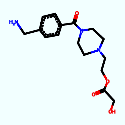 NCc1ccc(C(=O)N2CCN(CCOC(=O)CO)CC2)cc1